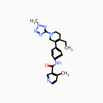 CCC1=C(c2ccc(NC(=O)c3cnccc3C)cc2)CN(c2nnn(C)n2)CC1